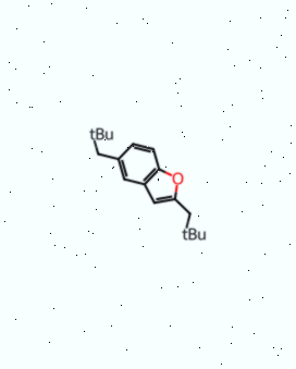 CC(C)(C)Cc1ccc2oc(CC(C)(C)C)cc2c1